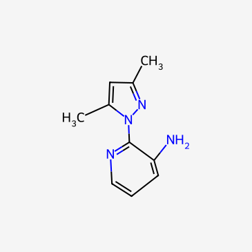 Cc1cc(C)n(-c2ncccc2N)n1